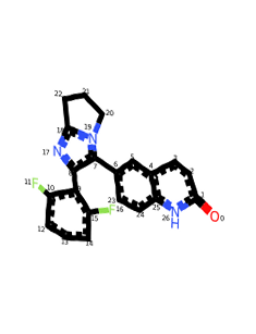 O=c1ccc2cc(-c3c(-c4c(F)cccc4F)nc4n3CCC4)ccc2[nH]1